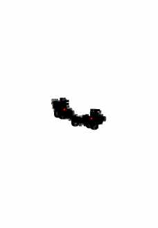 Cc1ccc(-c2cc3ccc(CCC(O)CCc4ccc5cc(-c6ccc(C)cc6C(F)(F)F)c(=O)oc5c4)cc3oc2=O)c(C(F)(F)F)c1